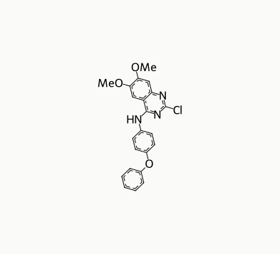 COc1cc2nc(Cl)nc(Nc3ccc(Oc4ccccc4)cc3)c2cc1OC